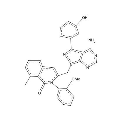 COc1ccccc1-n1c(Cn2nc(-c3cccc(O)c3)c3c(N)ncnc32)cc2cccc(C)c2c1=O